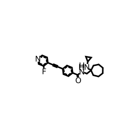 O=C(NCC1(NC2CC2)CCCCCC1)c1ccc(C#Cc2ccncc2F)cc1